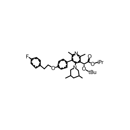 Cc1nc(C)c([C@H](OC(C)(C)C)C(=O)OC(C)C)c(N2CC(C)CC(C)C2)c1-c1ccc(OCCc2ccc(F)cc2)cc1